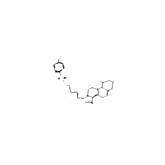 CC(=O)OC1CCC[C@@H]2CCC3=C4C(=O)C[C@H]([C@H](C)CCCOS(=O)(=O)c5ccc(C)cc5)[C@@]4(C)CC[C@@H]3[C@@]12C